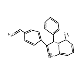 C=Cc1ccc(C(=N)[C@H](c2ccccc2)N2C(C=O)=CC=CC2C)cc1